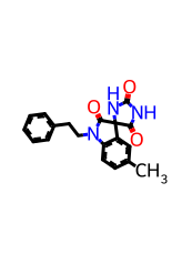 Cc1ccc2c(c1)C1(NC(=O)NC1=O)C(=O)N2CCc1ccccc1